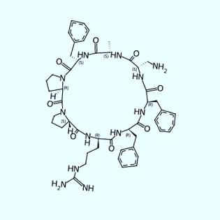 C[C@@H]1NC(=O)[C@H](CN)NC(=O)[C@@H](Cc2ccccc2)NC(=O)[C@@H](Cc2ccccc2)NC(=O)[C@@H](CCCNC(=N)N)NC(=O)[C@@H]2CCCN2C(=O)[C@H]2CCCN2C(=O)[C@H](Cc2ccccc2)NC1=O